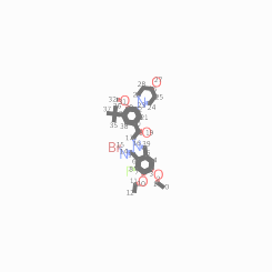 CCOc1cc2c(c(F)c1OCC)/C(=N/Br)N(CC(=O)c1cc(N3CCC(=O)CC3)c(OC)c(C(C)(C)C)c1)C2